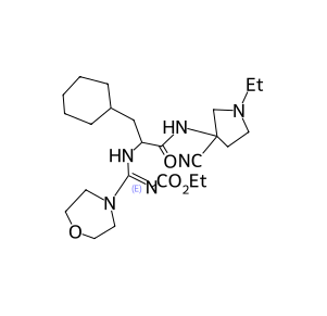 CCOC(=O)/N=C(\NC(CC1CCCCC1)C(=O)NC1(C#N)CCN(CC)C1)N1CCOCC1